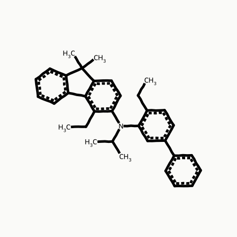 CCc1ccc(-c2ccccc2)cc1N(c1ccc2c(c1CC)-c1ccccc1C2(C)C)C(C)C